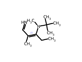 CC/C(=C(\C)C=N)N(C)C(C)(C)C